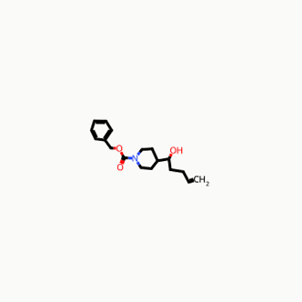 C=CCCC(O)C1CCN(C(=O)OCc2ccccc2)CC1